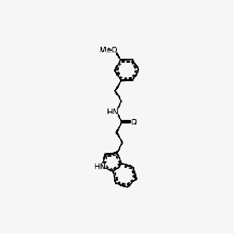 COc1cccc(CCNC(=O)CCc2c[nH]c3ccccc23)c1